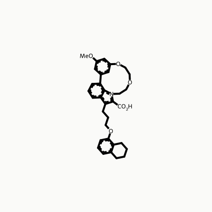 COc1cc2cc(c1)-c1cccc3c(CCCOc4cccc5c4CCCC5)c(C(=O)O)n(c13)CCOCCO2